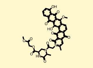 COC(=O)COC(=O)C1CN(C(=O)Cn2c(C)cc3c(=O)c4ccc5c(OC)c6c(=O)c7c(O)cccc7c(=O)c6c(O)c5c4c(=O)c3c2=O)C(C)C(=O)N1